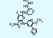 COc1ncc(Nc2nc(N[C@@H]3CCOC[C@@H]3NC(=O)O)c(F)cc2C(N)=O)cc1-n1ccnn1